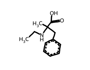 CCNC(C)(Cc1ccccc1)C(=O)O